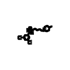 CC1CCN(CCCCc2nc(-c3cc(Cl)cc(Cl)c3)no2)CC1